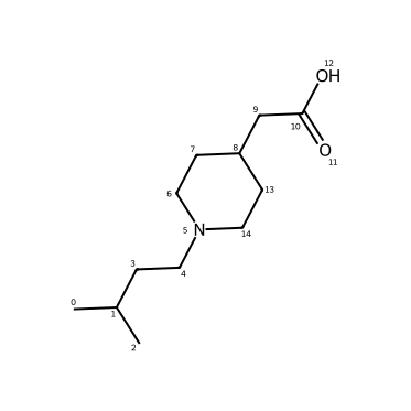 CC(C)CCN1CCC(CC(=O)O)CC1